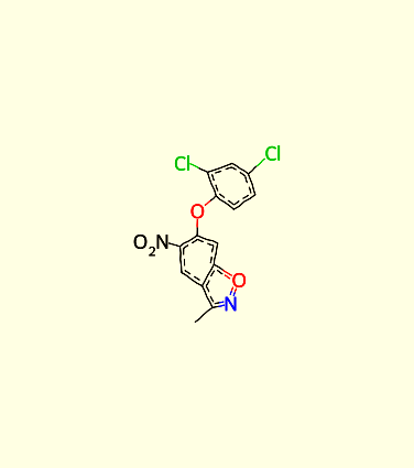 Cc1noc2cc(Oc3ccc(Cl)cc3Cl)c([N+](=O)[O-])cc12